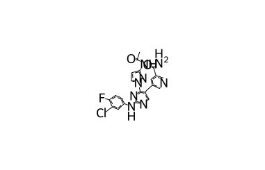 CC(=O)Nc1ccn(-c2nc(Nc3ccc(F)c(Cl)c3)ncc2-c2cncc(C(N)=O)c2)n1